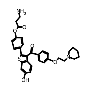 NCCC(=O)Oc1ccc(-c2sc3cc(O)ccc3c2C(=O)c2ccc(OCCN3CCCCC3)cc2)cc1